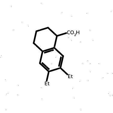 CCc1cc2c(cc1CC)C(C(=O)O)CCC2